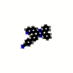 N#Cc1ccc(-c2ccc(-c3nc(-c4ccccc4)c(-c4ccccc4)nc3-c3ccc4ccncc4c3)cc2)cc1